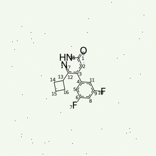 O=c1cc(-c2cc(F)cc(F)c2)c(C2CCC2)n[nH]1